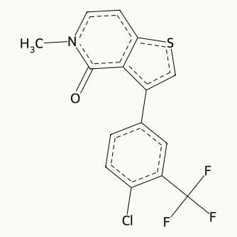 Cn1ccc2scc(-c3ccc(Cl)c(C(F)(F)F)c3)c2c1=O